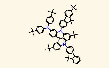 CC(C)(C)c1ccc(N(c2ccc(C(C)(C)C)cc2)c2ccc3c(c2)N(c2ccc4c(c2)C(C)(C)c2cc(C(C)(C)C)ccc2-4)c2cc(C(C)(C)C)cc4c2B3c2cc(C(C)(C)C)ccc2N4c2ccc3c(c2)C(C)(C)c2ccccc2-3)cc1